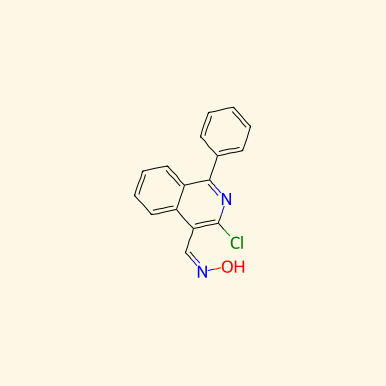 O/N=C\c1c(Cl)nc(-c2ccccc2)c2ccccc12